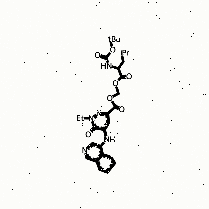 CCn1nc(C(=O)OCOC(=O)C(CC(C)C)NC(=O)OC(C)(C)C)cc(Nc2cncc3ccccc23)c1=O